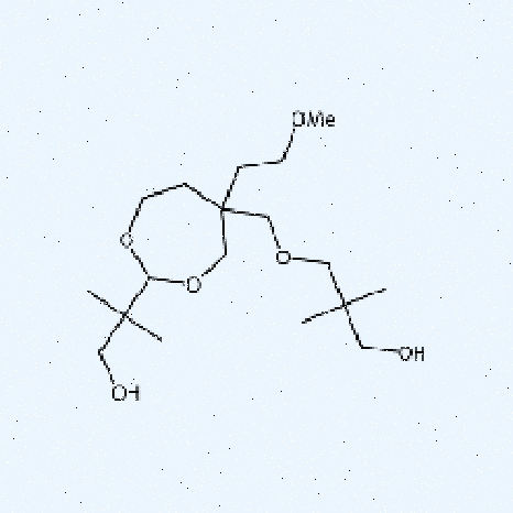 COCCC1(COCC(C)(C)CO)CCOC(C(C)(C)CO)OC1